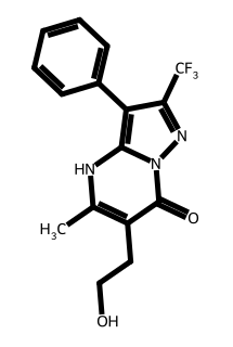 Cc1[nH]c2c(-c3ccccc3)c(C(F)(F)F)nn2c(=O)c1CCO